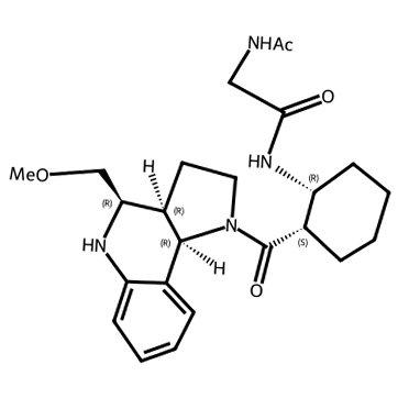 COC[C@@H]1Nc2ccccc2[C@H]2[C@@H]1CCN2C(=O)[C@H]1CCCC[C@H]1NC(=O)CNC(C)=O